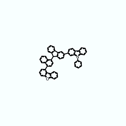 c1ccc(-n2c3ccccc3c3ccc(-c4ccc5c(c4)-c4ccccc4C5c4ccc(-c5cccc6oc7ccccc7c56)c5ccccc45)cc32)cc1